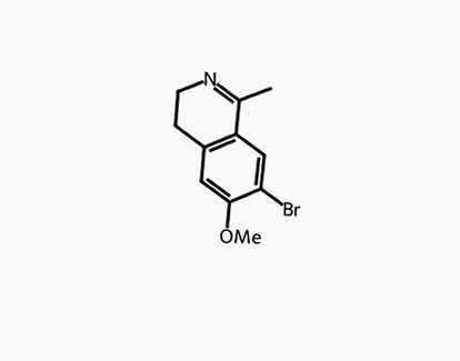 COc1cc2c(cc1Br)C(C)=NCC2